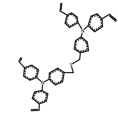 C=Cc1ccc(N(c2ccc(C=C)cc2)c2ccc(CSCc3ccc(N(c4ccc(C=C)cc4)c4ccc(C=C)cc4)cc3)cc2)cc1